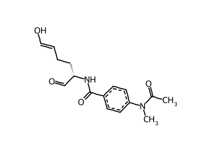 CC(=O)N(C)c1ccc(C(=O)N[C@H](C=O)CC/C=C/O)cc1